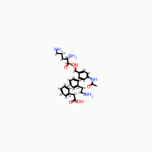 CC(=O)Nc1ccc(C=O)cc1.NCCC[C@@H](N)C(=O)O.NCCc1ccccc1.O=C(O)Cc1ccccc1